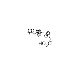 CC(C)(CCCCc1ccc(CCCc2ccc(CCCCC(C)(C)C(=O)O)[s+]2[O-])[s+]1[O-])C(=O)O